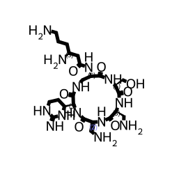 N=C1NCCC([C@@H]2NC(=O)/C(=C/N)NC(=O)[C@H](CN)NC(=O)[C@H](CO)NC(=O)[C@@H](NC(=O)C[C@@H](N)CCCN)CNC2=O)N1